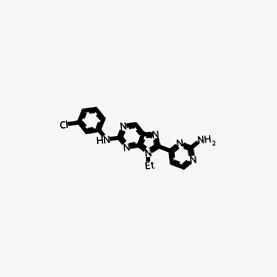 CCn1c(-c2ccnc(N)n2)nc2cnc(Nc3cccc(Cl)c3)nc21